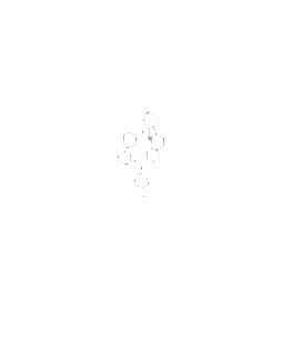 CC1CC2CC(C1)CC(C)(c1ccc(N(c3ccccc3)c3ccc4ccc5c6ccccc6n(-c6ccccc6)c5c4c3)cc1)C2